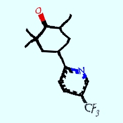 CC1CC(c2ccc(C(F)(F)F)cn2)CC(C)(C)C1=O